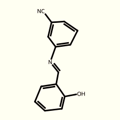 N#Cc1cccc(/N=C/c2ccccc2O)c1